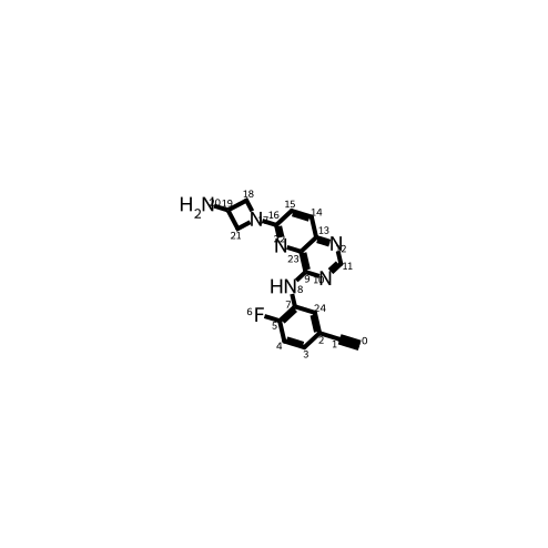 C#Cc1ccc(F)c(Nc2ncnc3ccc(N4CC(N)C4)nc23)c1